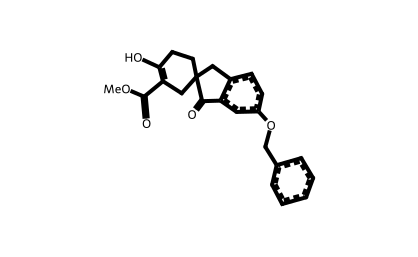 COC(=O)C1=C(O)CCC2(C1)Cc1ccc(OCc3ccccc3)cc1C2=O